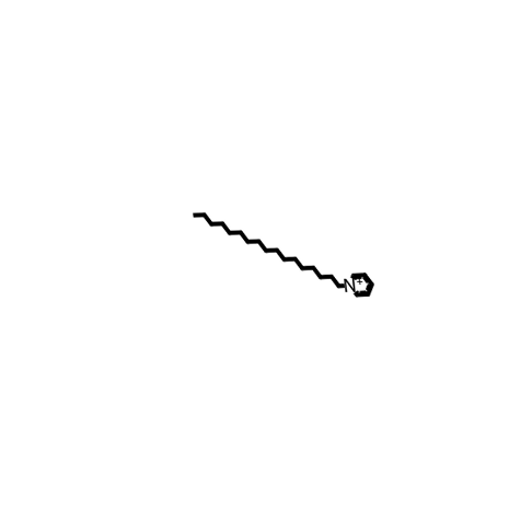 CCCCCCCCCCCCCCCCC[n+]1ccccc1